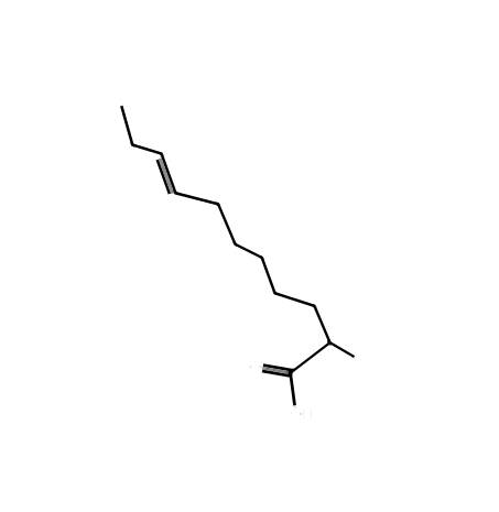 CC/C=C/CCCCCC(C)C(=O)O